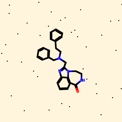 O=C1NCCn2c(CN(CCc3ccccc3)Cc3ccccc3)nc3cccc1c32